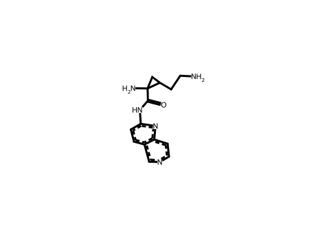 NCCC1CC1(N)C(=O)Nc1ccc2cnccc2n1